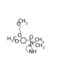 COCCCOc1cc(C(=O)N(C(C)C)[C@@H]2CCCNC2)ccc1OC